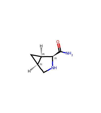 NC(=O)[C@H]1NC[C@H]2C[C@H]21